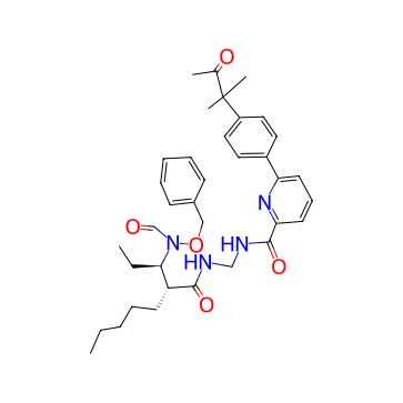 CCCCC[C@@H](C(=O)NCNC(=O)c1cccc(-c2ccc(C(C)(C)C(C)=O)cc2)n1)[C@@H](CC)N(C=O)OCc1ccccc1